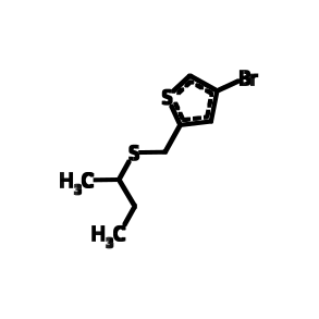 CCC(C)SCc1cc(Br)cs1